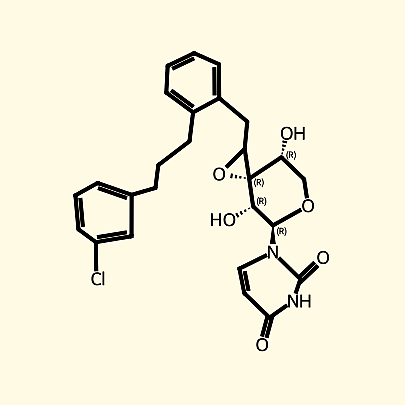 O=c1ccn([C@@H]2OC[C@@H](O)[C@@]3(OC3Cc3ccccc3CCCc3cccc(Cl)c3)[C@H]2O)c(=O)[nH]1